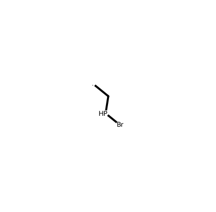 [CH2]CPBr